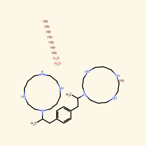 Br.Br.Br.Br.Br.Br.Br.Br.CC(Cc1ccc(CC(C)N2CCCNCCNCCCNCC2)cc1)N1CCCNCCNCCCNCC1.O.O